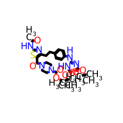 CCOC(=O)N1CCN(C(=O)c2sc(NC(C)=O)nc2CCc2ccc(N/C(=N/C(=O)OC(C)(C)C)NC(=O)OC(C)(C)C)cc2)CC1